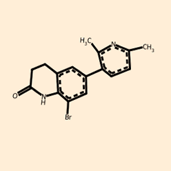 Cc1ccc(-c2cc(Br)c3c(c2)CCC(=O)N3)c(C)n1